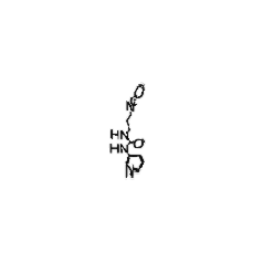 O=C=NCCCNC(=O)Nc1cccnc1